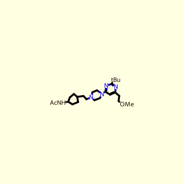 COCCc1cc(N2CCN(CCC3CCC(NC(C)=O)CC3)CC2)nc(C(C)(C)C)n1